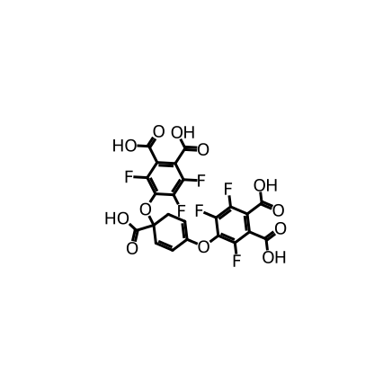 O=C(O)c1c(F)c(F)c(OC2=CCC(Oc3c(F)c(F)c(C(=O)O)c(C(=O)O)c3F)(C(=O)O)C=C2)c(F)c1C(=O)O